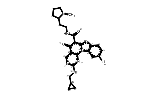 CN1CCCC1CCNC(=O)c1c(=O)c2cnc(NCC3CC3)nc2n2c1sc1ccc(Cl)cc12